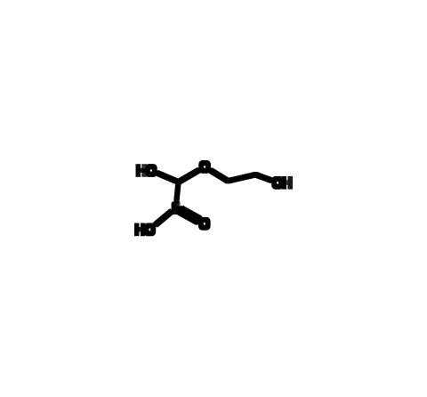 O=S(O)C(O)OCCO